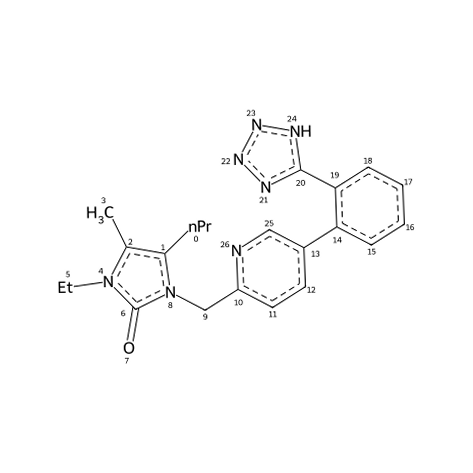 CCCc1c(C)n(CC)c(=O)n1Cc1ccc(-c2ccccc2-c2nnn[nH]2)cn1